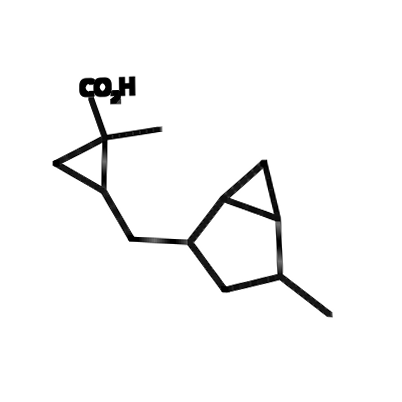 CC1CC(CC2CC2(C)C(=O)O)C2CC12